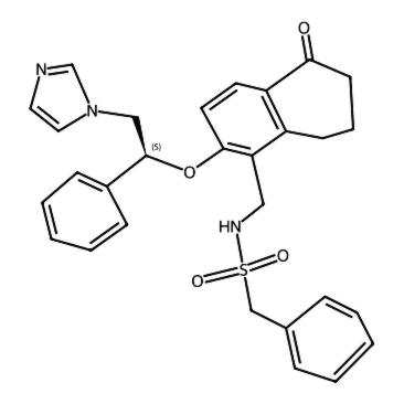 O=C1CCCc2c1ccc(O[C@H](Cn1ccnc1)c1ccccc1)c2CNS(=O)(=O)Cc1ccccc1